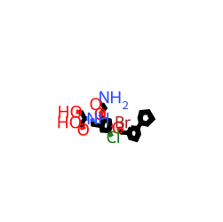 NC(=O)COc1cc(OCc2cccc(-c3ccccc3)c2Br)c(Cl)cc1CNC(CO)C(=O)O